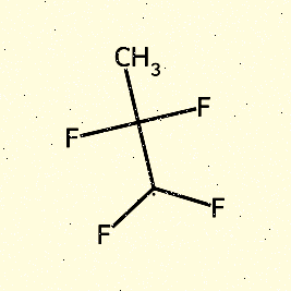 CC(F)(F)[C](F)F